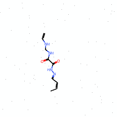 C=CNCNC(=O)C(=O)NN=C/C=C\C